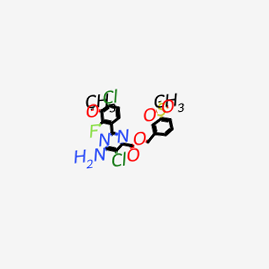 COc1c(Cl)ccc(-c2nc(N)c(Cl)c(C(=O)OCc3cccc(S(C)(=O)=O)c3)n2)c1F